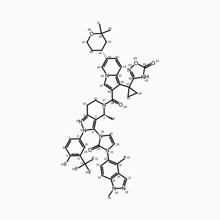 C[C@H]1c2c(nn(-c3ccc(F)c(C(F)(F)F)c3)c2-n2ccn(-c3ccc4c(cnn4C)c3F)c2=O)CCN1C(=O)c1cn2cc([C@@H]3CCOC(C)(C)C3)ccc2c1C1(c2noc(=O)[nH]2)CC1